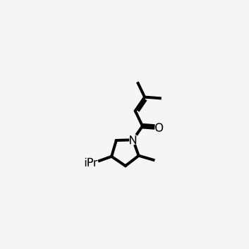 CC(C)=CC(=O)N1CC(C(C)C)CC1C